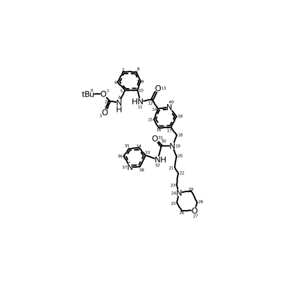 CC(C)(C)OC(=O)Nc1ccccc1NC(=O)c1ccc(CN(CCCCN2CCOCC2)C(=O)Nc2cccnc2)cn1